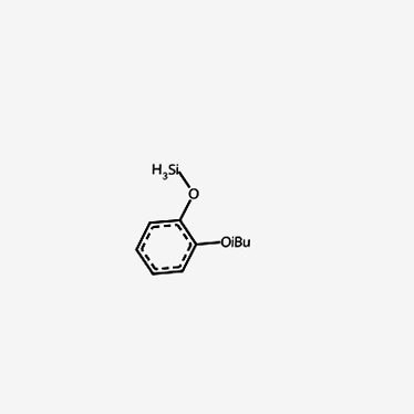 CC(C)COc1ccccc1O[SiH3]